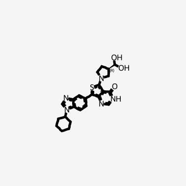 O=c1[nH]cnc2c(-c3ccc4c(c3)ncn4C3CCCCC3)sc(N3CC[C@@H](C(O)O)C3)c12